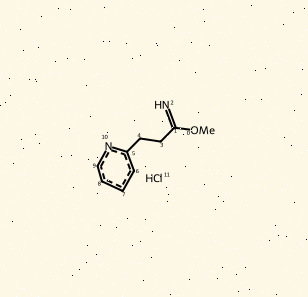 COC(=N)CCc1ccccn1.Cl